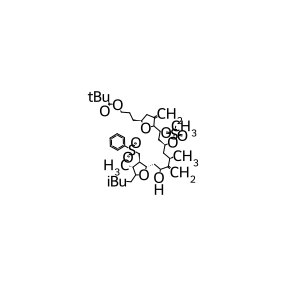 C=C1C[C@H](CCCOC(=O)C(C)(C)C)OC1CC[C@H](C[C@@H](C)C(=C)C(O)C[C@@H]1OC(CC(C)CC)[C@H](C)[C@H]1CS(=O)(=O)c1ccccc1)OS(C)(=O)=O